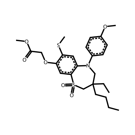 CCCCC1(CC)CN(c2ccc(OC)cc2)c2cc(SC)c(OCC(=O)OC)cc2S(=O)(=O)C1